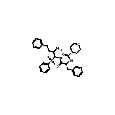 NC(CCc1ccccc1)C(NC(=O)[C@H](Cc1ccccc1)NC(=O)N1CCOCC1)S(=O)(=O)c1ccccc1